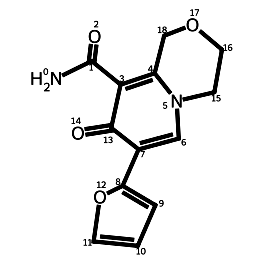 NC(=O)c1c2n(cc(-c3ccco3)c1=O)CCOC2